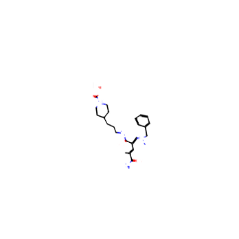 CCNC(=O)/C(C=O)=C/C(=C\N(C)Cc1ccccc1)C(=O)NCCCC1CCN(C(=O)OC(C)(C)C)CC1